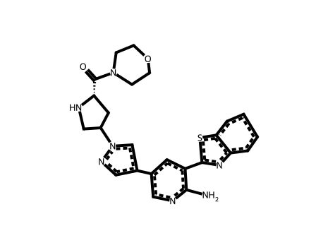 Nc1ncc(-c2cnn(C3CN[C@H](C(=O)N4CCOCC4)C3)c2)cc1-c1nc2ccccc2s1